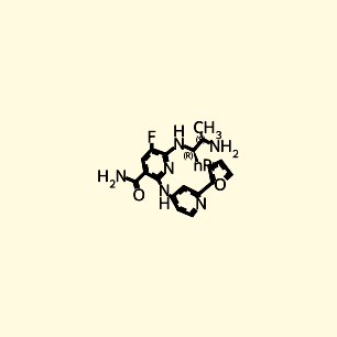 CCC[C@@H](Nc1nc(Nc2ccnc(-c3ccco3)c2)c(C(N)=O)cc1F)[C@H](C)N